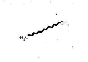 [CH2]CC=CCC=CCCCCCCCC